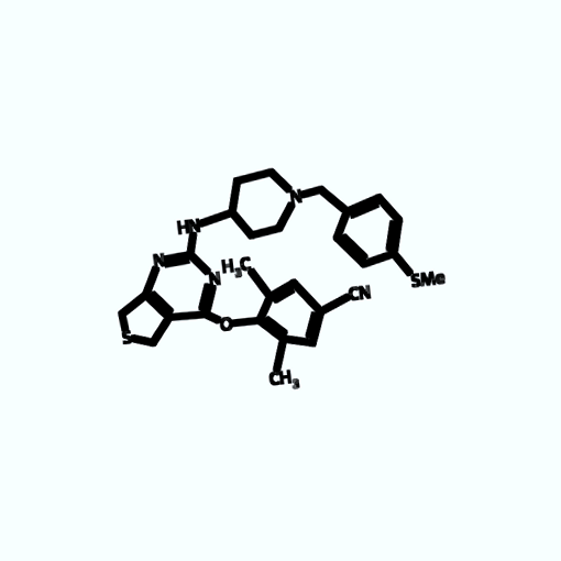 CSc1ccc(CN2CCC(Nc3nc4c(c(Oc5c(C)cc(C#N)cc5C)n3)CSC4)CC2)cc1